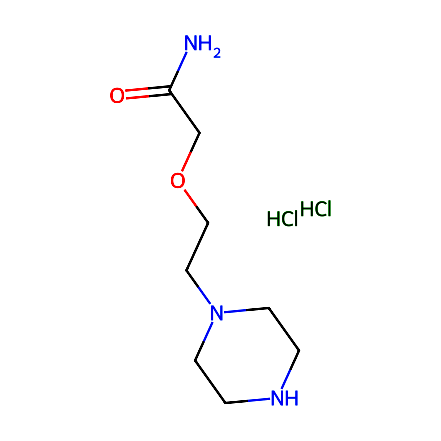 Cl.Cl.NC(=O)COCCN1CCNCC1